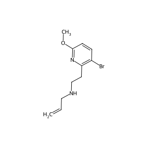 C=CCNCCc1nc(OC)ccc1Br